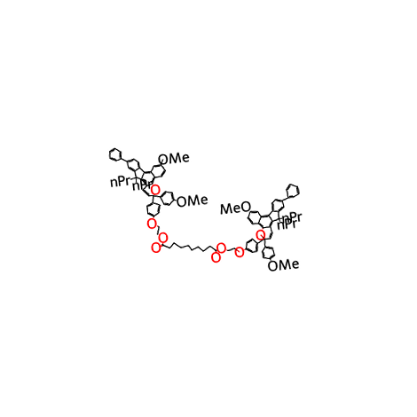 CCCC1(CCC)c2cc(-c3ccccc3)ccc2-c2c1c1c(c3ccc(OC)cc23)OC(c2ccc(OC)cc2)(c2ccc(OCCOC(=O)CCCCCCCCC(=O)OCCOc3ccc(C4(c5ccc(OC)cc5)C=Cc5c6c(c7cc(OC)ccc7c5O4)-c4ccc(-c5ccccc5)cc4C6(CCC)CCC)cc3)cc2)C=C1